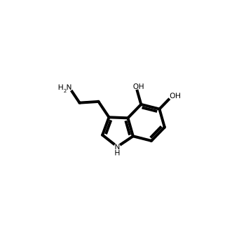 NCCc1c[nH]c2ccc(O)c(O)c12